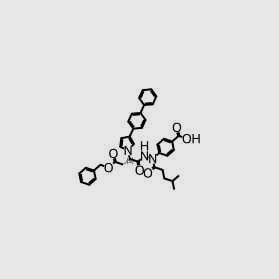 CC(C)CCC(=O)N(NC(=O)[C@H](CC(=O)OCc1ccccc1)n1ccc(-c2ccc(-c3ccccc3)cc2)c1)c1ccc(C(=O)O)cc1